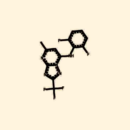 Cc1cc(Nc2c(F)cccc2F)n2nc(C(F)(F)F)nc2n1